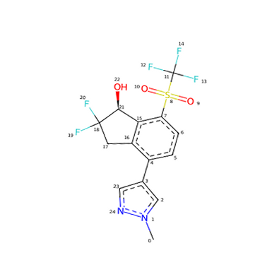 Cn1cc(-c2ccc(S(=O)(=O)C(F)(F)F)c3c2CC(F)(F)[C@H]3O)cn1